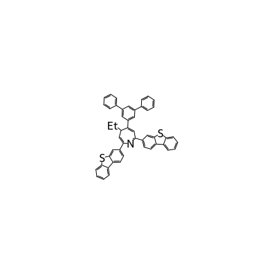 CCC1C=C(c2ccc3c(c2)sc2ccccc23)N=C(c2ccc3c(c2)sc2ccccc23)C=C1c1cc(-c2ccccc2)cc(-c2ccccc2)c1